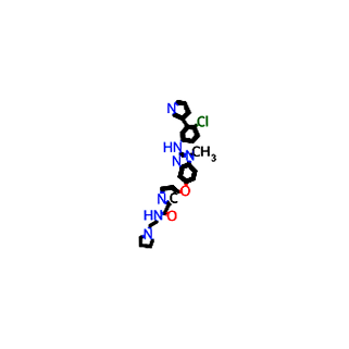 Cn1c(Nc2ccc(Cl)c(-c3cccnc3)c2)nc2cc(Oc3ccnc(C(=O)NCCN4CCCC4)c3)ccc21